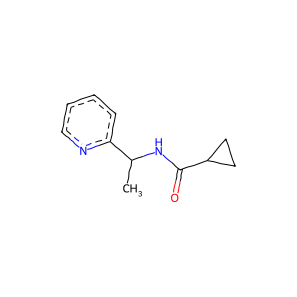 CC(NC(=O)C1CC1)c1ccccn1